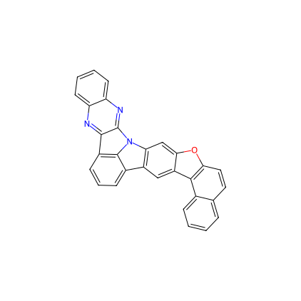 c1ccc2c(c1)ccc1oc3cc4c(cc3c12)c1cccc2c3nc5ccccc5nc3n4c12